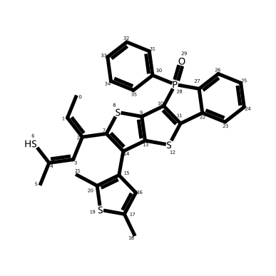 C/C=C(/C=C(/C)S)c1sc2c3c(sc2c1-c1cc(C)sc1C)-c1ccccc1P3(=O)c1ccccc1